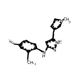 Cc1cc(O)ccc1Nc1cc(-c2ccn(C)c2)[nH]n1